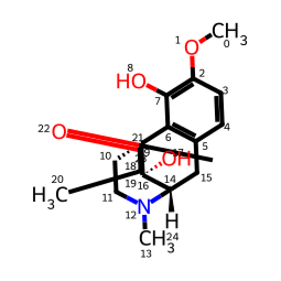 COc1ccc2c(c1O)[C@@]13CCN(C)[C@@H](C2)[C@@]1(O)CC(C)C(=O)C3